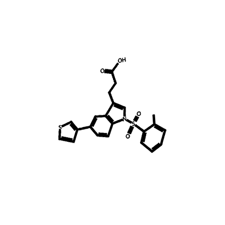 Cc1ccccc1S(=O)(=O)n1cc(CCC(=O)O)c2cc(-c3ccsc3)ccc21